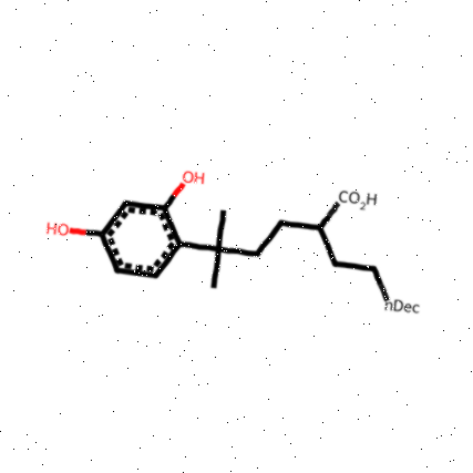 CCCCCCCCCCCCC(CCC(C)(C)c1ccc(O)cc1O)C(=O)O